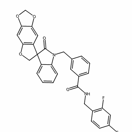 O=C(NCc1ccc(F)cc1F)c1cccc(CN2C(=O)C3(COc4cc5c(cc43)OCO5)c3ccccc32)c1